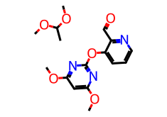 COC(C)OC.COc1cc(OC)nc(Oc2cccnc2C=O)n1